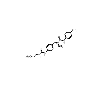 COCCNC(=O)Nc1ccc(C[C@H](N)C(=O)Nc2ccc(C(=O)O)cc2)cc1